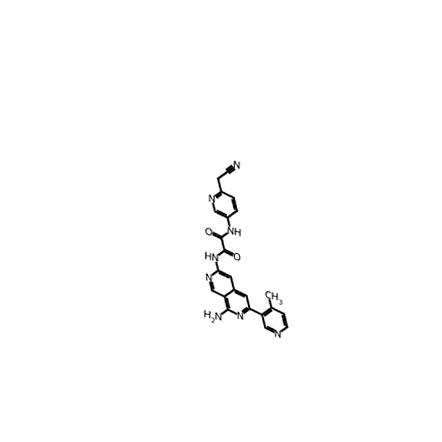 Cc1ccncc1-c1cc2cc(NC(=O)C(=O)Nc3ccc(CC#N)nc3)ncc2c(N)n1